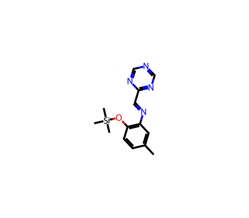 Cc1ccc(O[Si](C)(C)C)c(/N=C/c2ncncn2)c1